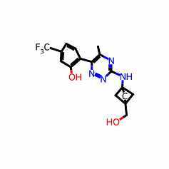 Cc1nc(NC23CC(CO)(C2)C3)nnc1-c1ccc(C(F)(F)F)cc1O